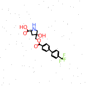 O=C(OC[C@]1(O)CN[C@H](C(=O)O)C1)c1ccc(-c2ccc(C(F)(F)F)cc2)cc1